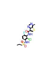 CCCS(=O)(=O)Nc1ccc(F)c(NC(=O)c2csc3c(C)ncnc23)c1Cl